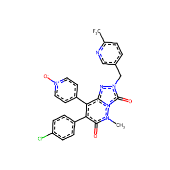 Cn1c(=O)c(-c2ccc(Cl)cc2)c(-c2cc[n+]([O-])cc2)c2nn(Cc3ccc(C(F)(F)F)nc3)c(=O)n21